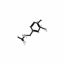 CC(=O)NCc1ccc(C)c(Br)c1